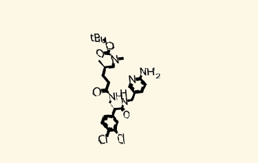 C[C@H](CCC(=O)NC[C@H](C(=O)NCc1ccc(N)nc1)c1ccc(Cl)c(Cl)c1)CN(C)C(=O)OC(C)(C)C